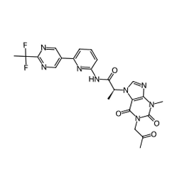 CC(=O)Cn1c(=O)c2c(ncn2[C@@H](C)C(=O)Nc2cccc(-c3cnc(C(C)(F)F)nc3)n2)n(C)c1=O